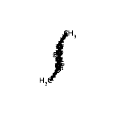 CCCCCCCOc1ccc(-c2ccc(-c3ccc(C4CCC(CCCCCCC)CC4)cc3F)cc2)c(F)c1F